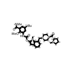 CNC(=O)c1cc(C(C)(C)C)cc(NC(=O)Oc2cc3cccc(CN4CCN(C(=O)[C@@H]5CCCN5C)CC4)c3n2C)c1OC